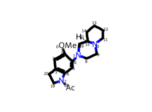 COc1cc2c(cc1N1CCN3CCCC[C@@H]3C1)N(C(C)=O)CC2